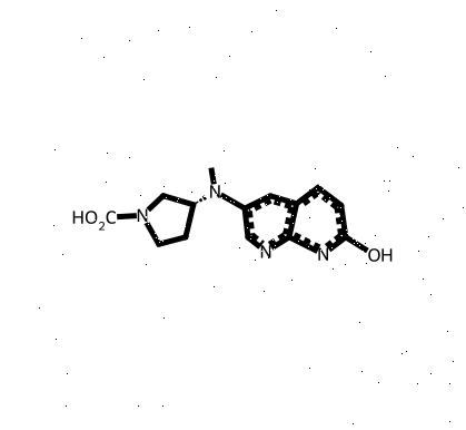 CN(c1cnc2nc(O)ccc2c1)[C@@H]1CCN(C(=O)O)C1